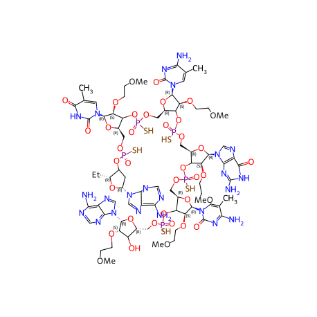 CC[C@H]1O[C@@H](n2cnc3c(N)ncnc32)CC1OP(=O)(S)OC[C@H]1O[C@@H](n2cc(C)c(=O)[nH]c2=O)[C@@H](OCCOC)C1OP(=O)(S)OC[C@H]1O[C@@H](n2cc(C)c(N)nc2=O)[C@@H](OCCOC)C1OP(=O)(S)OC[C@H]1O[C@@H](n2cnc3c(=O)[nH]c(N)nc32)[C@@H](OCCOC)C1OP(=O)(S)OC[C@H]1O[C@@H](n2cc(C)c(N)nc2=O)[C@@H](OCCOC)C1OP(=O)(S)OC[C@H]1O[C@@H](n2cnc3c(N)ncnc32)[C@@H](OCCOC)C1O